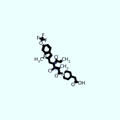 C=C/C(Cl)=C(Cc1cc2ccc(OC(F)(F)F)cc2n1C)\C(Cl)=C(/C)C(=O)N1CCC(CC(=O)O)CC1